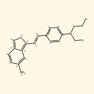 CCCN(CC)c1ccc(/N=N/c2snc3ccc(N)cc23)cc1